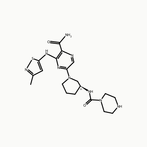 Cc1cc(Nc2nc(N3CCC[C@H](NC(=O)N4CCNCC4)C3)cnc2C(N)=O)sn1